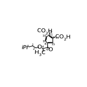 CC(C)CCOC(C)C(=O)c1ccc(C(=O)O)c(C(=O)O)c1